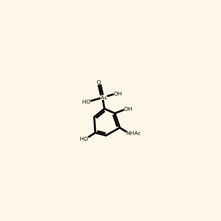 CC(=O)Nc1cc(O)cc([As](=O)(O)O)c1O